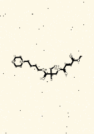 COC(=O)/C=C/C(=O)OCC(C)(CO)C(=O)OCCCCN1CCOCC1